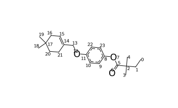 CCC(C)(C)C(=O)Oc1ccc(OCC2=CCC(C)(C)CC2)cc1